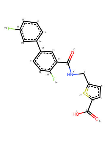 O=C(O)c1ccc(CNC(=O)c2cc(-c3cccc(F)c3)ccc2F)s1